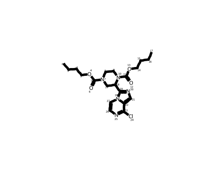 CCCCOC(=O)N1CCN(C(=O)OCCCC)C(c2ncc3c(Cl)nccn23)C1